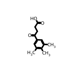 Cc1cc(C(=O)CCC(=O)O)cc(C)c1C